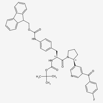 CC(C)(C)OC(=O)N[C@@H](Cc1ccc(NC(=O)OCC2c3ccccc3-c3ccccc32)cc1)C(=O)N1CCC[C@H]1c1cncc(C(=O)c2ccc(F)cc2)c1